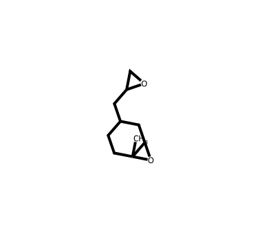 CC12CCC(CC3CO3)CC1O2